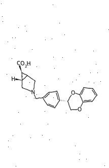 O=C(O)[C@H]1C2CN(Cc3ccc([C@H]4COc5ccccc5O4)cc3)C[C@@H]21